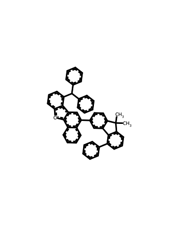 CC1(C)c2ccc(-c3cc4c(oc5cccc(C(c6ccccc6)c6ccccc6)c54)c4ccccc34)cc2-c2c(-c3ccccc3)cccc21